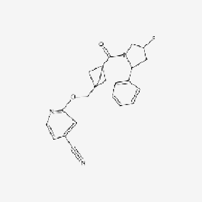 N#Cc1ccnc(OCC23CC(C(=O)N4CC(F)CC4c4ccccc4)(C2)C3)c1